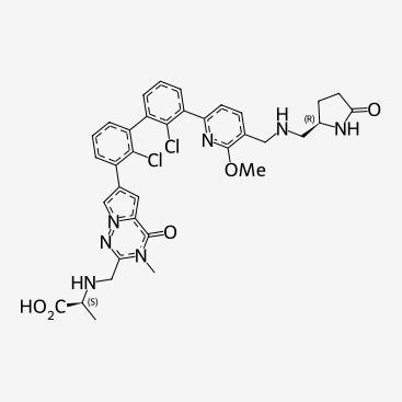 COc1nc(-c2cccc(-c3cccc(-c4cc5c(=O)n(C)c(CN[C@@H](C)C(=O)O)nn5c4)c3Cl)c2Cl)ccc1CNC[C@H]1CCC(=O)N1